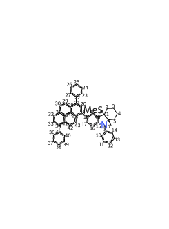 CSC12CCCCC1(C)N(c1ccccc1)c1ccc(-c3cc(-c4ccccc4)c4ccc5ccc(-c6ccccc6)c6ccc3c4c56)cc12